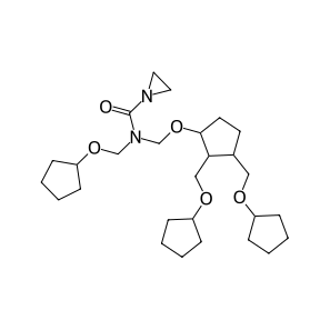 O=C(N1CC1)N(COC1CCCC1)COC1CCC(COC2CCCC2)C1COC1CCCC1